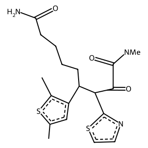 CNC(=O)C(=O)C(c1nccs1)C(CCCCC(N)=O)c1cc(C)sc1C